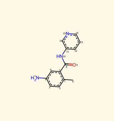 Cc1ccc(N)cc1C(=O)Nc1cccnc1